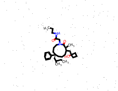 CCCNC(=O)CN1CCC[C@@](CC(C)CC)(c2ccccc2)CCCC(CC2(O)CCC2)C(C)C1=O